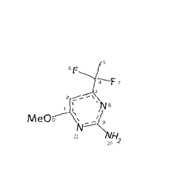 COc1cc(C(C)(F)F)nc(N)n1